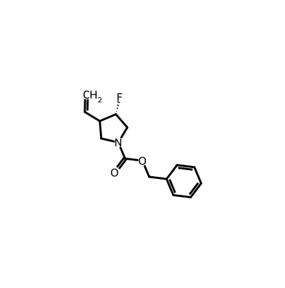 C=CC1CN(C(=O)OCc2ccccc2)C[C@H]1F